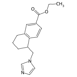 CCOC(=O)c1ccc2c(c1)CCCC2Cn1ccnc1